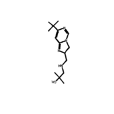 CC(C)(O)CNCC1CN2C=NC(C(C)(C)C)=CC2=N1